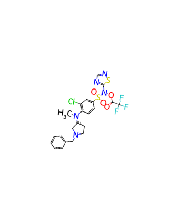 CN(c1ccc(S(=O)(=O)N(OC(=O)C(F)(F)F)c2ncns2)cc1Cl)[C@@H]1CCN(Cc2ccccc2)C1